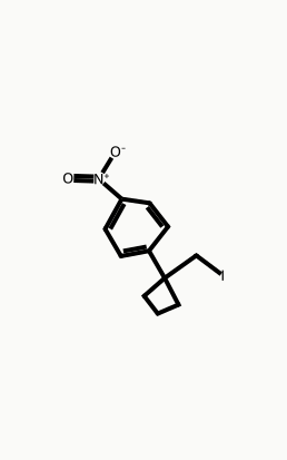 O=[N+]([O-])c1ccc(C2(CI)CCC2)cc1